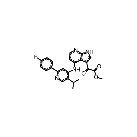 COC(=O)C(=O)c1c[nH]c2nccc(Nc3cc(-c4ccc(F)cc4)ncc3C(C)C)c12